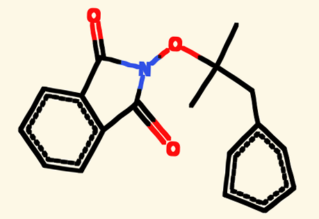 CC(C)(Cc1ccccc1)ON1C(=O)c2ccccc2C1=O